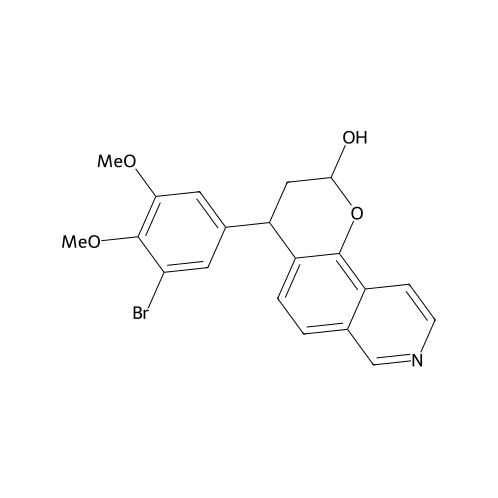 COc1cc(C2CC(O)Oc3c2ccc2cnccc32)cc(Br)c1OC